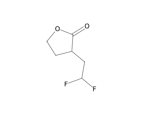 O=C1OCCC1CC(F)F